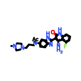 CC(=O)N(CCCN1CCN(C)CC1)c1ccc2nc(-c3c(N)c4c(F)cccc4[nH]c3=O)[nH]c2c1